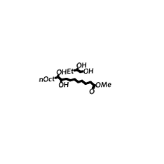 CCC(O)CO.CCCCCCCCC(O)C(O)CCCCCCCC(=O)OC